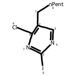 CCCCCCc1cnc(I)nc1Cl